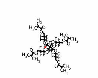 C=C(C)C(=O)OCC(F)(F)C(F)(F)OC(F)(F)C(C(F)(F)OC(F)(F)C(F)(F)COC(=O)C(=C)C)(C(F)(F)OC(F)(F)C(F)(F)COC(=O)C(=C)C)C(F)(F)OC(F)(F)C(F)(F)COC(=O)C(=C)C